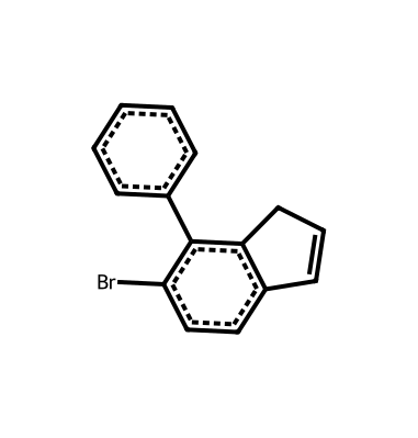 Brc1ccc2c(c1-c1ccccc1)CC=C2